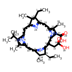 CCC1=C(C)c2cc3[nH]c(cc4nc(c(CC(=O)O)c5[nH]c(cc1n2)c(C)c5C(=O)O)[C@@H](CC)[C@@H]4C)c(C)c3C(C)C